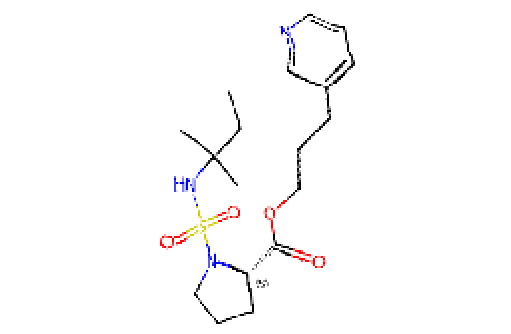 CCC(C)(C)NS(=O)(=O)N1CCC[C@H]1C(=O)OCCCc1cccnc1